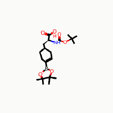 CC(C)(C)OC(=O)N[C@@H](CC1CC=C(B2OC(C)(C)C(C)(C)O2)CC1)C(=O)O